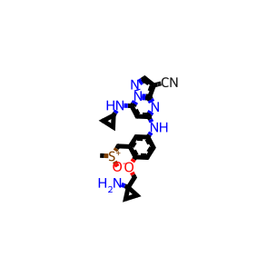 C[S+]([O-])Cc1cc(Nc2cc(NC3CC3)n3ncc(C#N)c3n2)ccc1OCC1(N)CC1